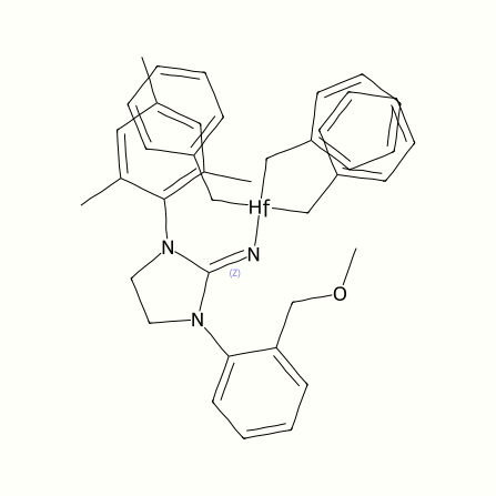 COCc1ccccc1N1CCN(c2c(C)cc(C)cc2C)/C1=[N]\[Hf]([CH2]c1ccccc1)([CH2]c1ccccc1)[CH2]c1ccccc1